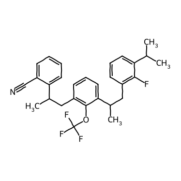 CC(C)c1cccc(CC(C)c2cccc(CC(C)c3ccccc3C#N)c2OC(F)(F)F)c1F